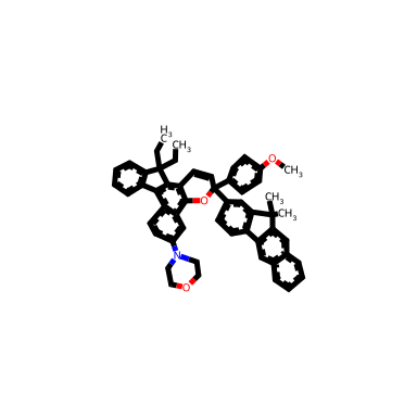 CCC1(CC)c2ccccc2-c2c1c1c(c3cc(N4CCOCC4)ccc23)OC(c2ccc(OC)cc2)(c2ccc3c(c2)C(C)(C)c2cc4ccccc4cc2-3)C=C1